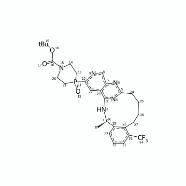 C[C@H]1Nc2nc(nc3cnc(P4(=O)CCN(C(=O)OC(C)(C)C)CC4)cc23)CCCCc2c1cccc2C(F)(F)F